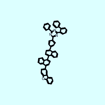 c1ccc(-c2nc(-c3ccc(-c4ccc(-c5ccc(-c6ccc7oc8ccccc8c7c6)c6ccccc56)c5ccccc45)cc3)nc(-c3ccccc3-c3ccccc3)n2)cc1